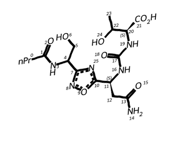 CCCC(=O)NC(CO)c1noc([C@H](CC(N)=O)NC(=O)N[C@H](C(=O)O)C(C)O)n1